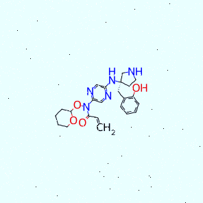 C=CC(=O)N(OC1CCCCO1)c1cnc(N[C@]2(Cc3ccccc3O)CCNC2)cn1